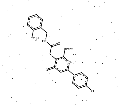 CCCCCc1nc(-c2ccc(Cl)cc2)cc(=O)n1CC(=O)NCc1ccccc1C(=O)O